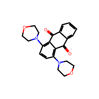 O=C1c2ccccc2C(=O)c2c(N3CCOCC3)ccc(N3CCOCC3)c21